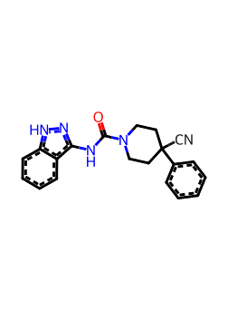 N#CC1(c2ccccc2)CCN(C(=O)Nc2n[nH]c3ccccc23)CC1